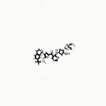 Cc1sc(C(=O)c2cncnc2N[C@@H]2C[C@H](COS(N)(=O)=O)[C@@H](O)C2)cc1[C@@H]1OCCc2ccc(C(F)(F)F)cc21